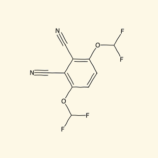 N#Cc1c(OC(F)F)ccc(OC(F)F)c1C#N